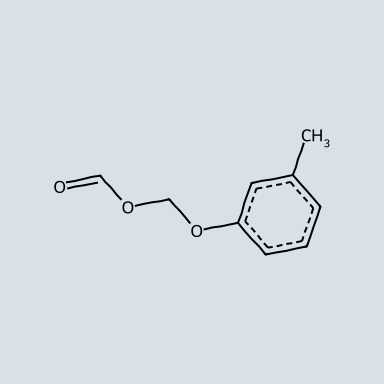 Cc1cccc(OCOC=O)c1